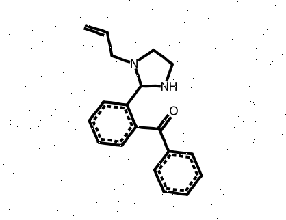 C=CCN1CCNC1c1ccccc1C(=O)c1ccccc1